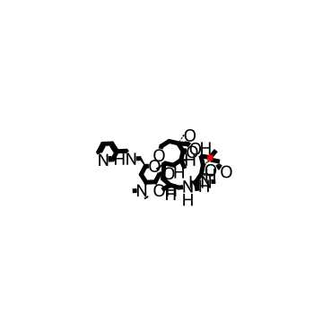 CC[C@H]1OC(=O)[C@]2(C)CCO[C@@](C)(C[C@@H](C)CN[C@H](C)[C@@H](NC)[C@]1(CC)OC=O)[C@H](O[C@@H]1O[C@H](CNCc3cccnc3)C[C@H](N(C)C)[C@H]1O)[C@@H](C)C2=O